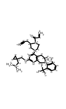 C=CC(=O)N1CCN(c2nc(OCC3(CN(C)C)CC3)nc3c2C[C@@H](C)N(c2c(F)cccc2C(F)(F)F)C3)CC1CC#N